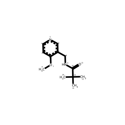 COc1ccncc1CNC(=O)C(C)(C)C